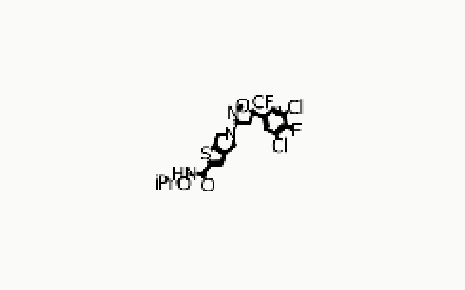 CC(C)ONC(=O)c1cc2c(s1)CN(C1=NOC(c3cc(Cl)c(F)c(Cl)c3)(C(F)(F)F)C1)C2